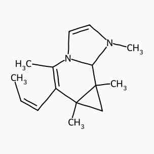 C/C=C\C1=C(C)N2C=CN(C)C2C2(C)CC12C